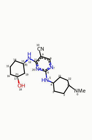 CNC1CCC(Nc2ncc(C#N)c(N[C@@H]3CCC[C@H](O)C3)n2)CC1